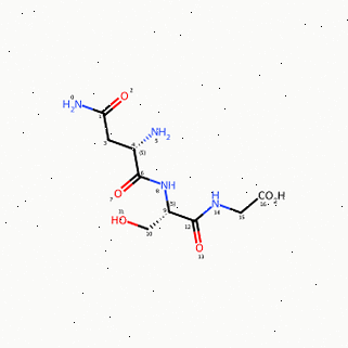 NC(=O)C[C@H](N)C(=O)N[C@@H](CO)C(=O)NCC(=O)O